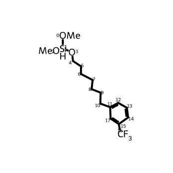 CO[SiH](OC)OCCCCCCCc1cccc(C(F)(F)F)c1